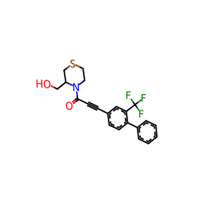 O=C(C#Cc1ccc(-c2ccccc2)c(C(F)(F)F)c1)N1CCSCC1CO